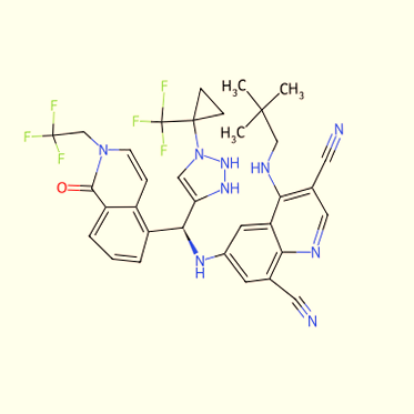 CC(C)(C)CNc1c(C#N)cnc2c(C#N)cc(N[C@H](C3=CN(C4(C(F)(F)F)CC4)NN3)c3cccc4c(=O)n(CC(F)(F)F)ccc34)cc12